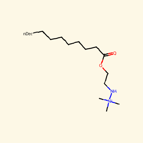 CCCCCCCCCCCCCCCCCC(=O)OCCN[N+](C)(C)C